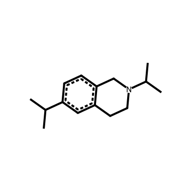 CC(C)c1ccc2c(c1)CCN(C(C)C)C2